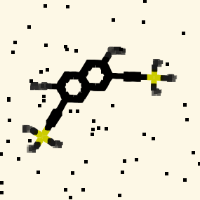 COc1cc2cc(OC)c(C#CS(C(C)C)(C(C)C)C(C)C)cc2cc1C#CS(C(C)C)(C(C)C)C(C)C